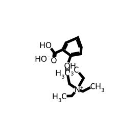 CC[N+](CC)(CC)CC.O=C(O)c1ccccc1O.[OH-]